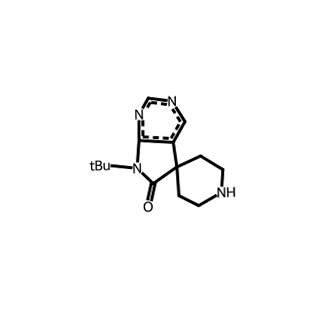 CC(C)(C)N1C(=O)C2(CCNCC2)c2cncnc21